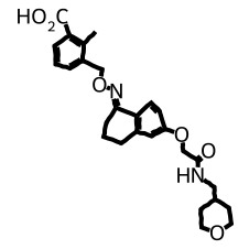 Cc1c(CON=C2CCCc3cc(OCC(=O)NCC4CCOCC4)ccc32)cccc1C(=O)O